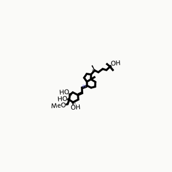 COCC1(O)[C@H](O)CC(=C/C=C2\CCCC3(C)C2CCC3[C@@H](C)CCCC(C)(C)O)C[C@H]1O